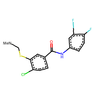 CNCSc1cc(C(=O)Nc2ccc(F)c(F)c2)ccc1Cl